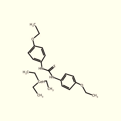 CCOc1ccc(NC(=S)Nc2ccc(OCC)cc2)cc1.C[CH2][GeH]([CH2]C)[CH2]C